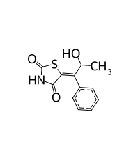 CC(O)/C(=C1\SC(=O)NC1=O)c1ccccc1